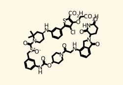 CC1(C)C[C@@H](Nc2cccc(-c3sc(C(=O)O)c(OCC(=O)O)c3Cl)c2)CCN1C(=O)[S+]([O-])Cc1cccc(NC(=O)OC2CCN(C(=O)CNc3cccc4c3CN(C3CCC(=O)NC3=O)C4=O)CC2)c1